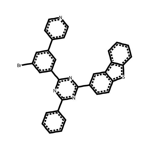 Brc1cc(-c2ccncc2)cc(-c2nc(-c3ccccc3)nc(-c3ccc4sc5ccccc5c4c3)n2)c1